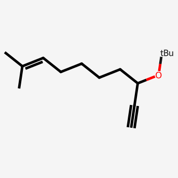 C#CC(CCCCC=C(C)C)OC(C)(C)C